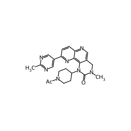 CC(=O)N1CCC(N2C(=O)N(C)Cc3cnc4ccc(-c5cnc(C)nc5)nc4c32)CC1